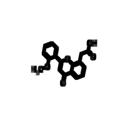 COc1ccccc1-c1cc(=O)c2cccc(CC(=O)O)c2o1